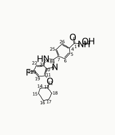 O=C(NO)c1ccc(-c2nc3c(OC4CCCCC4)cc(F)cc3[nH]2)cc1